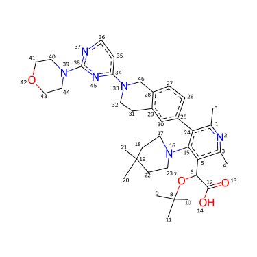 Cc1nc(C)c(C(OC(C)(C)C)C(=O)O)c(N2CCC(C)(C)CC2)c1-c1ccc2c(c1)CCN(c1ccnc(N3CCOCC3)n1)C2